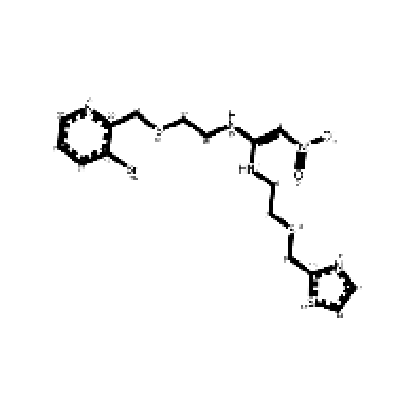 O=[N+]([O-])C=C(NCCSCc1nccs1)NCCSCc1ncccc1Br